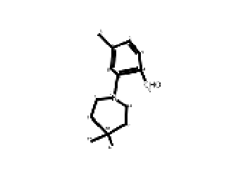 Cc1ccc(C=O)c(N2CCC(C)(C)CC2)c1